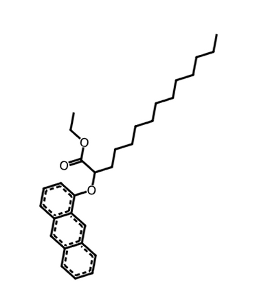 CCCCCCCCCCCCC(Oc1cccc2cc3ccccc3cc12)C(=O)OCC